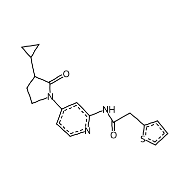 O=C(Cc1cccs1)Nc1cc(N2CCC(C3CC3)C2=O)ccn1